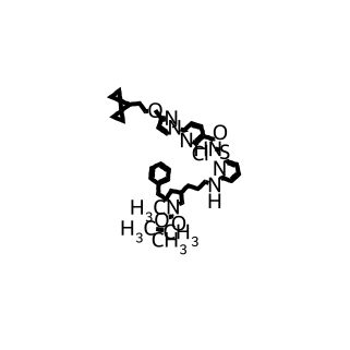 CC(C)(C)OC(=O)N1CC(CCCNc2cccc(SNC(=O)c3ccc(-n4ccc(OCCC5C6(CC6)C56CC6)n4)nc3Cl)n2)CC1(C)Cc1ccccc1